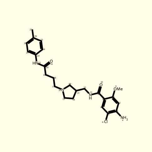 COc1cc(N)c(Cl)cc1C(=O)NCC1CCN(CCCC(=O)Nc2ccc(C)cc2)C1